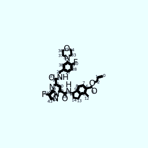 C=CCOC(=O)c1ccc2c(c1C)CC[C@@H]2NC(=O)c1cc(C(=O)NCc2ccc(F)c(N3CCOCC3)c2)nc2c(F)cnn12